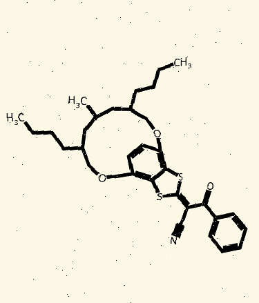 CCCCC1COc2ccc(c3c2SC(=C(C#N)C(=O)c2ccccc2)S3)OCC(CCCC)CC(C)C1